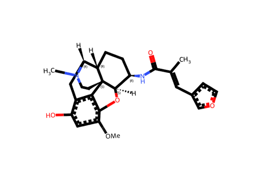 COc1cc(O)c2c3c1O[C@@H]1[C@H](NC(=O)C(C)=Cc4ccoc4)CC[C@H]4[C@@H](C2)N(C)CC[C@]314